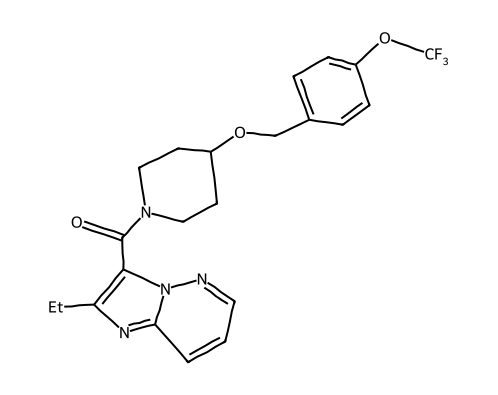 CCc1nc2cccnn2c1C(=O)N1CCC(OCc2ccc(OC(F)(F)F)cc2)CC1